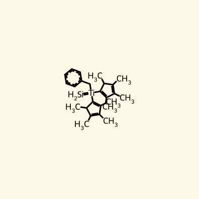 CC1=C(C)C(C)[C]([Ti](=[SiH2])([CH2]c2ccccc2)[C]2=C(C)C(C)=C(C)C2C)=C1C